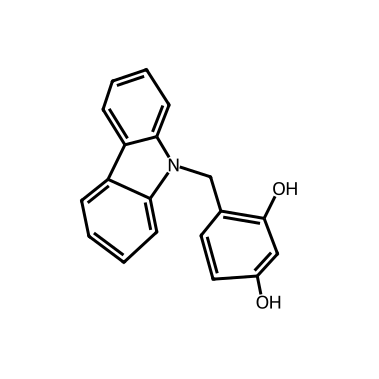 Oc1ccc(Cn2c3ccccc3c3ccccc32)c(O)c1